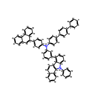 c1ccc(-c2ccc(-c3ccc(N(c4ccc(-c5cc6ccccc6c6ccccc56)cc4)c4cccc(-c5cccc6c5c5ccc7ccccc7c5n6-c5ccccc5)c4)cc3)cc2)cc1